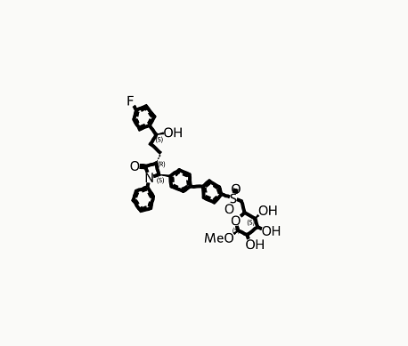 CO[C@H]1OC(CS(=O)(=O)c2ccc(-c3ccc([C@@H]4[C@@H](CC[C@H](O)c5ccc(F)cc5)C(=O)N4c4ccccc4)cc3)cc2)[C@@H](O)C(O)C1O